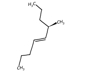 CCCC=C[C@H](C)CCC